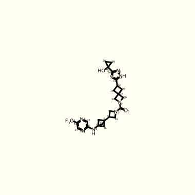 O=C(N1CC(C23CC(Nc4cnc(C(F)(F)F)cn4)(C2)C3)C1)N1CC2(CC(c3nc(C4(O)CC4)n[nH]3)C2)C1